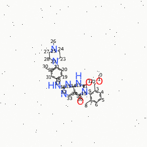 COCc1cccc(C)c1-n1c(=O)[nH]c2nc(Nc3ccc(N4CCN(C)CC4)c(C)c3)ncc2c1=O